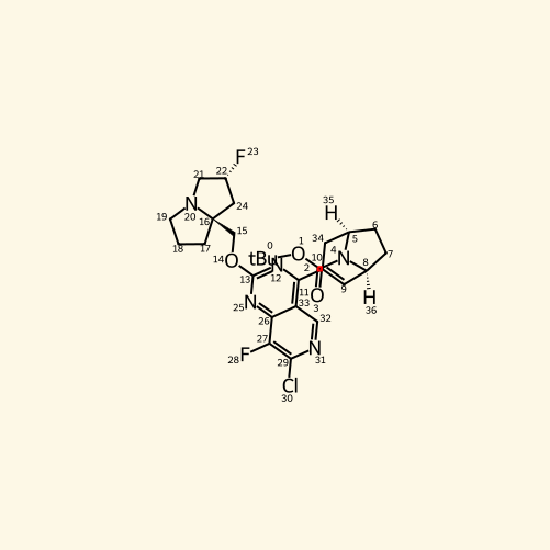 CC(C)(C)OC(=O)N1[C@@H]2CC[C@H]1C=C(c1nc(OC[C@@]34CCCN3C[C@H](F)C4)nc3c(F)c(Cl)ncc13)C2